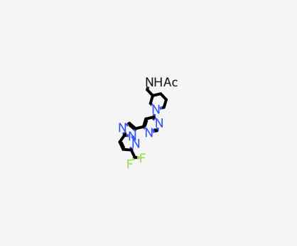 CC(=O)NCC1CCCN(c2cc(-c3cnc4ccc(C(F)F)nn34)ncn2)C1